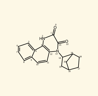 O=c1[nH]c2c3ccccc3ccc2n(C2CC3CCC2C3)c1=O